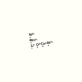 [Co+2].[Li+].[Mn+2].[Ni+2].[Ni+2].[O-2]